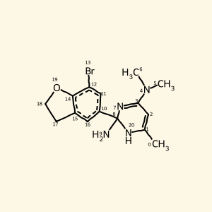 CC1=CC(N(C)C)=NC(N)(c2cc(Br)c3c(c2)CCO3)N1